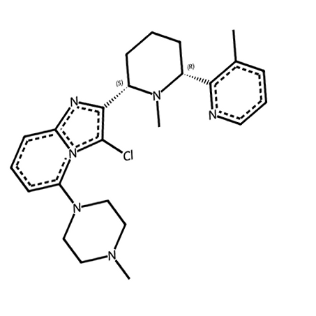 Cc1cccnc1[C@H]1CCC[C@@H](c2nc3cccc(N4CCN(C)CC4)n3c2Cl)N1C